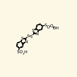 O=S(=O)(O)c1ccc2sc(SSc3nc4cc(SOOO)ccc4s3)nc2c1